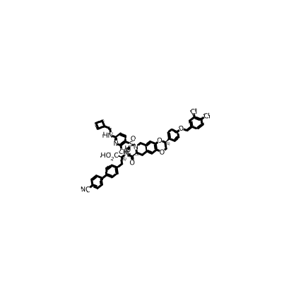 Cc1nc(NCC2CCC2)ccc1S(=O)(=O)N1Cc2cc3c(cc2C[C@H]1C(=O)N[C@@H](Cc1ccc(-c2ccc(C#N)cc2)cc1)C(=O)O)OC[C@H](c1ccc(OCc2ccc(Cl)c(Cl)c2)cc1)O3